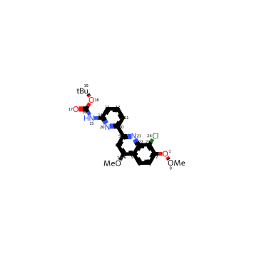 COOc1ccc2c(OC)cc(-c3cccc(NC(=O)OC(C)(C)C)n3)nc2c1Cl